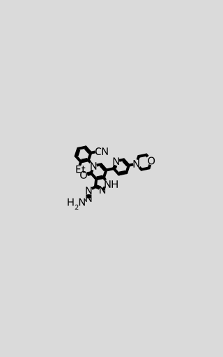 CCc1cccc(C#N)c1-n1cc(-c2ccc(N3CCOCC3)cn2)c2[nH]nc(N=NN)c2c1=O